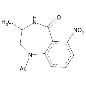 CC(=O)N1CC(C)NC(=O)c2c1cccc2[N+](=O)[O-]